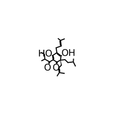 CCC(C)C(=O)C1=C(O)C(CC=C(C)C)=C(O)[C@](CC=C(C)C)(CCC(C)C)C1=O